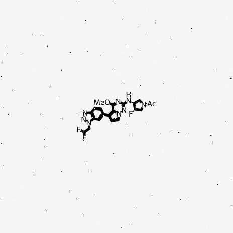 COc1nc(N[C@@H]2CN(C(C)=O)C[C@@H]2F)nn2ccc(-c3ccc4nnn(CC(F)F)c4c3)c12